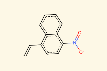 [CH]=Cc1ccc([N+](=O)[O-])c2ccccc12